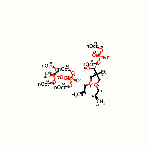 C=CCOCC(CC)(C[O-])COCC=C.CCCCCCCCOP(=O)([O-])OCCCCCCCC.CCCCCCCCOP(=O)([O-])OCCCCCCCC.CCCCCCCCOP(=O)([O-])OCCCCCCCC.[Ti+4]